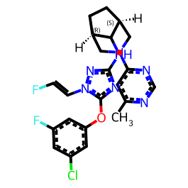 Cc1cc(N2C[C@H]3CC[C@@H](C2)C3Nc2nc(Oc3cc(F)cc(Cl)c3)n(C=CF)n2)ncn1